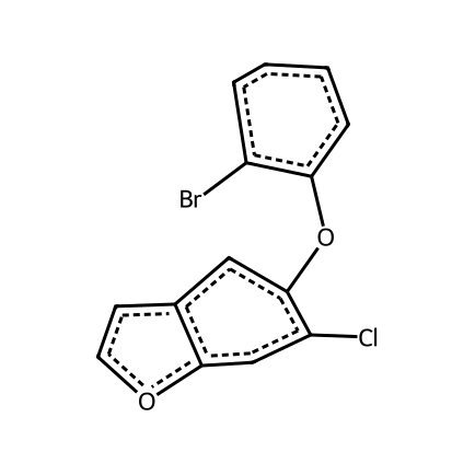 Clc1cc2occc2cc1Oc1ccccc1Br